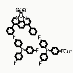 Fc1ccc(P(c2ccc(F)cc2)c2ccc(F)cc2)cc1.Fc1ccc(P(c2ccc(F)cc2)c2ccc(F)cc2)cc1.O=[N+]([O-])[O-].[Cu+].c1ccc(-c2ccnc3c2ccc2c(-c4ccccc4)ccnc23)cc1